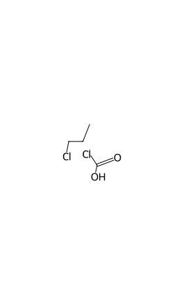 CCCCl.O=C(O)Cl